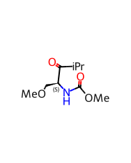 COC[C@H](NC(=O)OC)C(=O)C(C)C